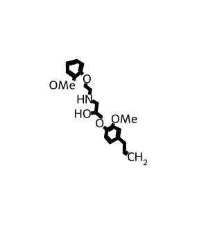 C=CCc1ccc(OCC(O)CNCCOc2ccccc2OC)c(OC)c1